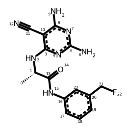 C[C@H](Nc1nc(N)nc(N)c1C#N)C(=O)Nc1cccc(CF)c1